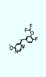 COc1cc([CH]c2ccc(F)c(OC(F)F)c2)ncn1